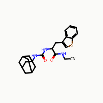 N#CCNC(=O)C(Cc1csc2ccccc12)NC(=O)NC12CC3CC(CC(C3)C1)C2